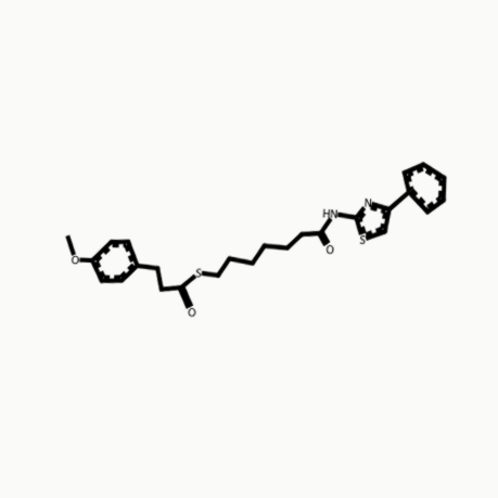 COc1ccc(CCC(=O)SCCCCCCC(=O)Nc2nc(-c3ccccc3)cs2)cc1